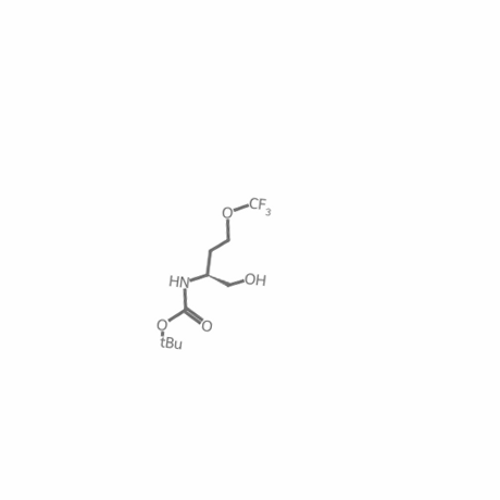 CC(C)(C)OC(=O)N[C@H](CO)CCOC(F)(F)F